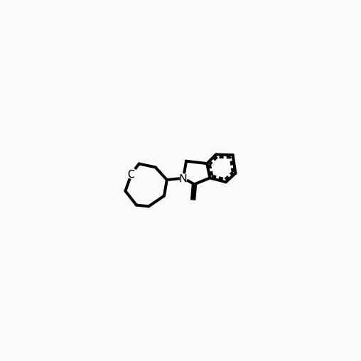 C=C1c2ccccc2CN1C1CCCCCCC1